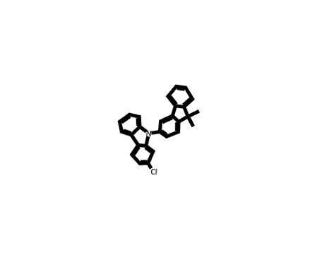 CC1(C)c2ccccc2-c2cc(-n3c4ccccc4c4ccc(Cl)cc43)ccc21